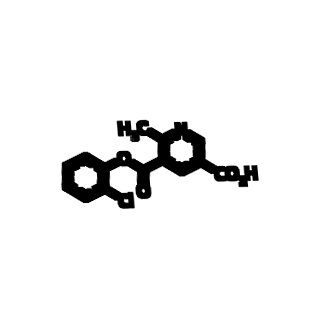 Cc1ncc(C(=O)O)cc1C(=O)Oc1ccccc1Cl